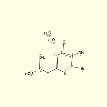 N[C@H](Cc1cc(Br)c(O)c(Br)c1)C(=O)O.O.O